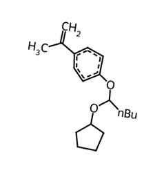 C=C(C)c1ccc(OC(CCCC)OC2CCCC2)cc1